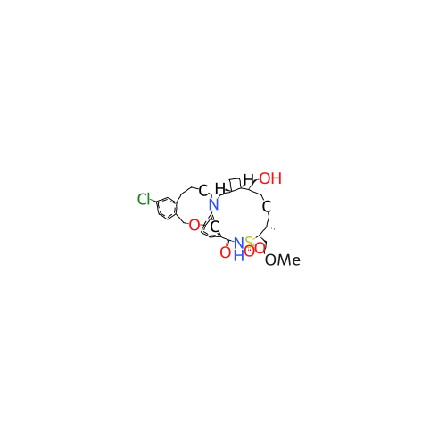 COCC[C@@H]1[C@@H](C)CCC[C@H](CO)[C@@H]2CC[C@H]2CN2CCCCc3cc(Cl)ccc3COc3ccc(cc32)C(=O)NS1(=O)=O